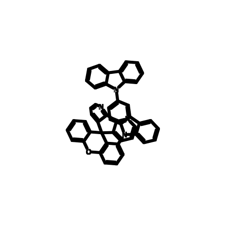 c1ccc2c(c1)Oc1cccc(-n3c4ccccc4c4cc(-n5c6ccccc6c6ccccc65)ccc43)c1C21c2cccnc2-c2ncccc21